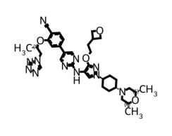 C[C@@H]1CN([C@H]2CC[C@H](n3cc(Nc4ncc(-c5ccc(C#N)c(O[C@@H](C)Cn6cnnn6)c5)cn4)c(OCCC4COC4)n3)CC2)C[C@H](C)O1